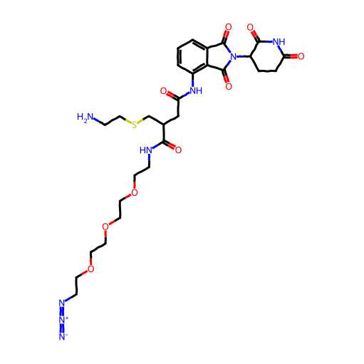 [N-]=[N+]=NCCOCCOCCOCCNC(=O)C(CSCCN)CC(=O)Nc1cccc2c1C(=O)N(C1CCC(=O)NC1=O)C2=O